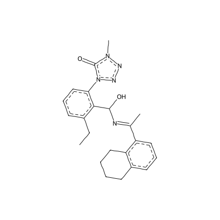 CCc1cccc(-n2nnn(C)c2=O)c1C(O)N=C(C)c1cccc2c1CCCC2